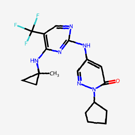 CC1(Nc2nc(Nc3cnn(C4CCCC4)c(=O)c3)ncc2C(F)(F)F)CC1